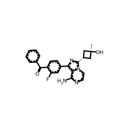 C[C@]1(O)C[C@H](c2nc(-c3ccc(C(=O)c4ccccc4)c(F)c3)c3c(N)nccn32)C1